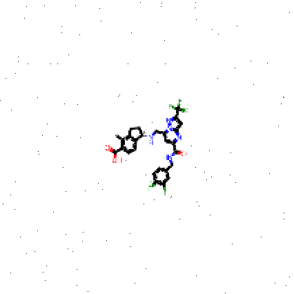 Cc1c(C(=O)O)ccc2c1CC[C@@H]2NCc1cc(C(=O)NCc2ccc(F)c(F)c2)nc2cc(C(F)(F)F)nn12